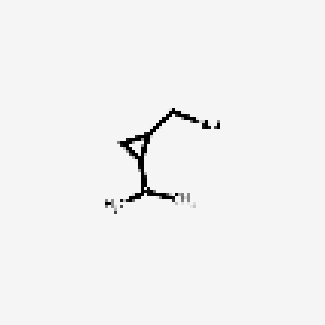 CCCCCC1CC1N(C)C